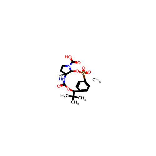 C.CC(C)(C)C1OC(=O)N[C@@H]2CCN(C(=O)O)C2OS(=O)(=O)c2ccc1cc2